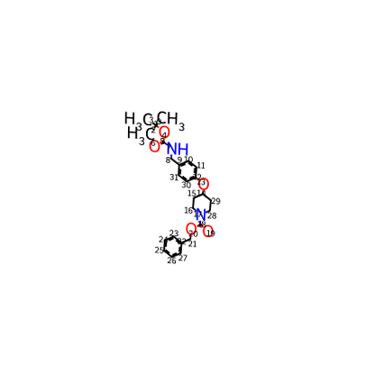 CC(C)(C)OC(=O)NCc1ccc(OC2CCN(C(=O)OCc3ccccc3)CC2)cc1